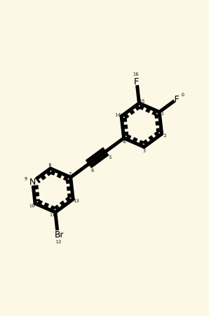 Fc1ccc(C#Cc2cncc(Br)c2)cc1F